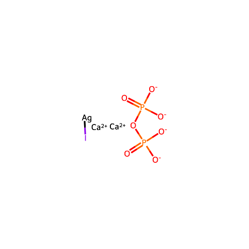 O=P([O-])([O-])OP(=O)([O-])[O-].[Ag][I].[Ca+2].[Ca+2]